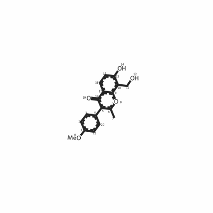 COc1ccc(-c2c(C)oc3c(CO)c(O)ccc3c2=O)cc1